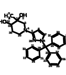 CC1(O)CN(c2ccn(C(c3ccccc3)(c3ccccc3)c3ccccc3)n2)CCC1O